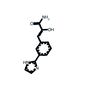 NC(=O)C(O)=Cc1cccc(-c2ncc[nH]2)c1